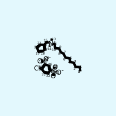 CCCCCCCCCCCC[N+](C)(C)Cc1ccccc1.O=[N+]([O-])c1cc(S(=O)(=O)[O-])ccc1Cl